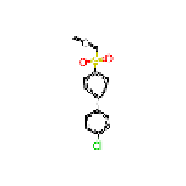 C=C=CS(=O)(=O)c1ccc(-c2ccc(Cl)cc2)cc1